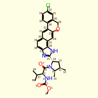 COC(=O)N[C@H](C(=O)N1[C@H](C)[C@H](C)C[C@H]1c1nc2ccc3cc4c(cc3c2[nH]1)OCc1cc(Cl)ccc1-4)C(C)C